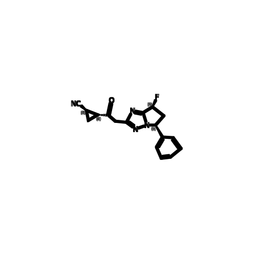 N#C[C@@H]1C[C@H]1C(=O)Cc1nc2n(n1)[C@H](c1ccccc1)C[C@@H]2F